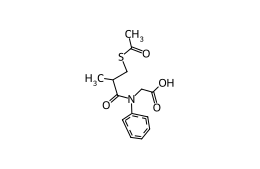 CC(=O)SCC(C)C(=O)N(CC(=O)O)c1ccccc1